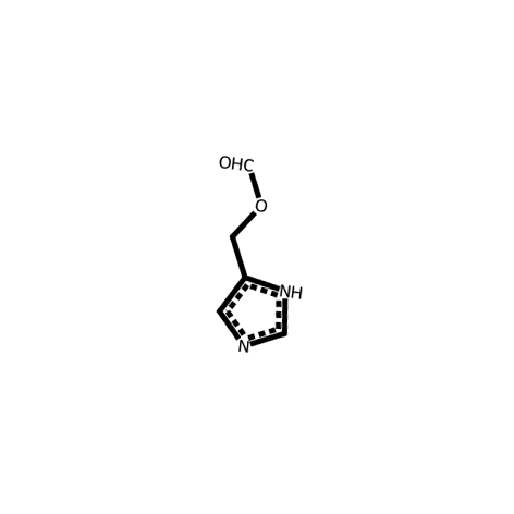 O=COCc1cnc[nH]1